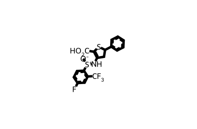 O=C(O)C1=C(N[S+]([O-])c2ccc(F)cc2C(F)(F)F)CC(c2ccccc2)S1